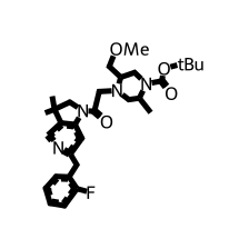 COCC1CN(C(=O)OC(C)(C)C)C(C)CN1CC(=O)N1CC(C)(C)c2cnc(Cc3ccccc3F)cc21